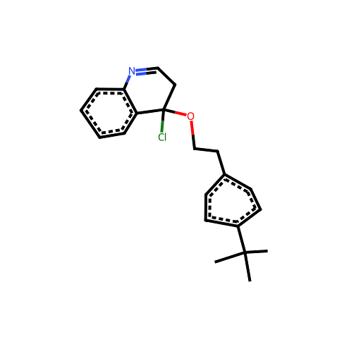 CC(C)(C)c1ccc(CCOC2(Cl)CC=Nc3ccccc32)cc1